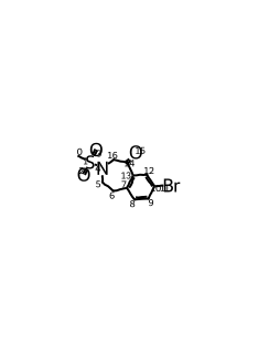 CS(=O)(=O)N1CCc2ccc(Br)cc2C(=O)C1